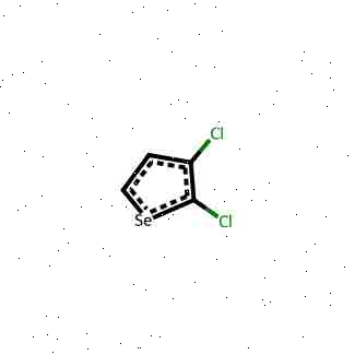 Clc1cc[se]c1Cl